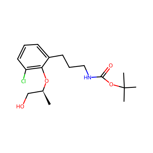 C[C@@H](CO)Oc1c(Cl)cccc1CCCNC(=O)OC(C)(C)C